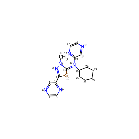 Cn1nc(-c2cnccn2)sc1=[N+](c1cnccn1)C1CCCCC1